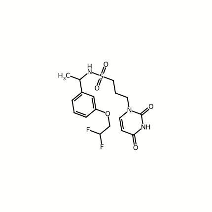 CC(NS(=O)(=O)CCCn1ccc(=O)[nH]c1=O)c1cccc(OCC(F)F)c1